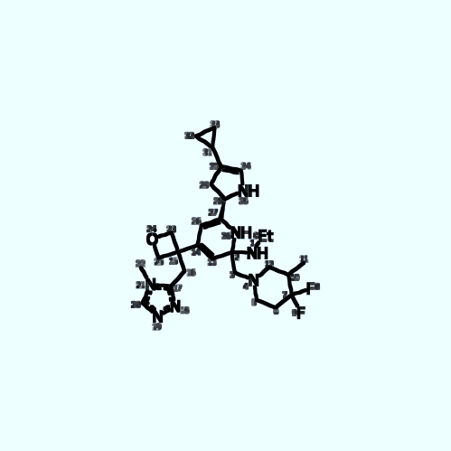 CCNC1(CN2CCC(F)(F)C(C)C2)C=C(C2(Cc3nncn3C)COC2)C=C([C@H]2CC(C3CC3)=CN2)N1